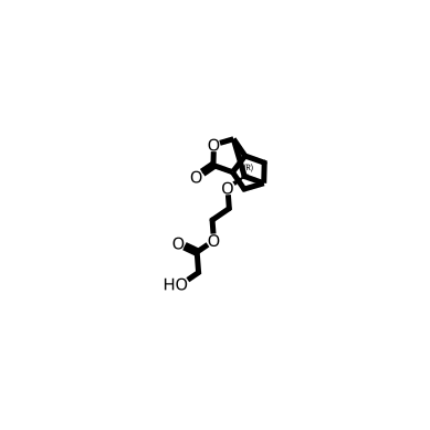 O=C(CO)OCCO[C@@H]1C2CC3C(=O)OC1C3C2